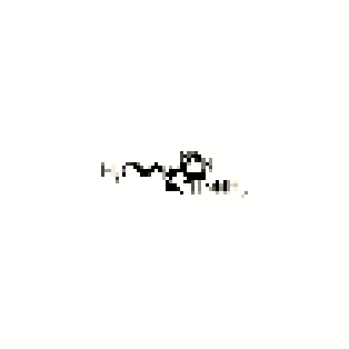 CCCCn1cnc2c(NN)ncnc21